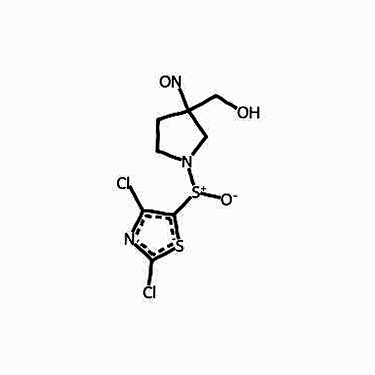 O=NC1(CO)CCN([S+]([O-])c2sc(Cl)nc2Cl)C1